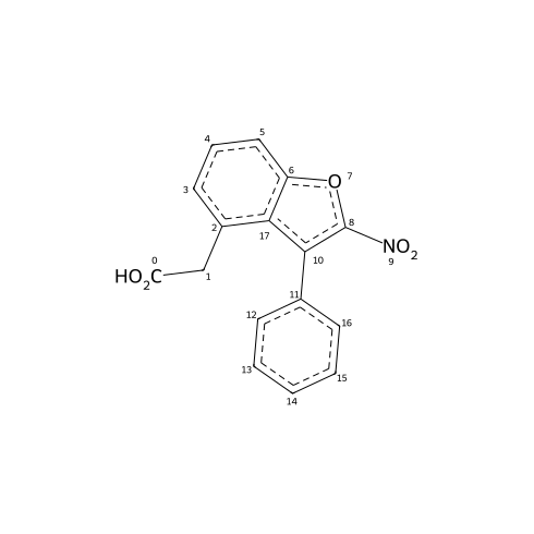 O=C(O)Cc1cccc2oc([N+](=O)[O-])c(-c3ccccc3)c12